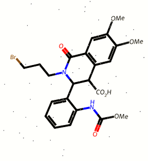 COC(=O)Nc1ccccc1C1C(C(=O)O)c2cc(OC)c(OC)cc2C(=O)N1CCCBr